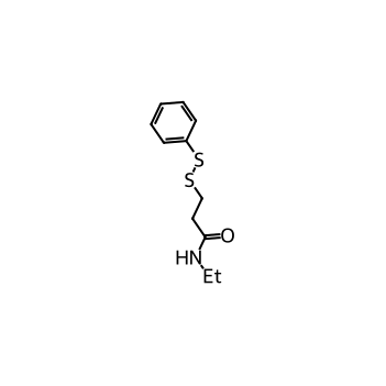 CCNC(=O)CCSSc1ccccc1